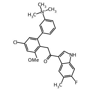 COc1cc(Cl)cc(-c2cccc([N+](C)(C)C)c2)c1CC(=O)c1c[nH]c2cc(F)c(C)cc12